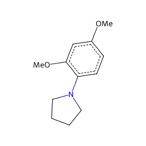 COc1ccc(N2CCCC2)c(OC)c1